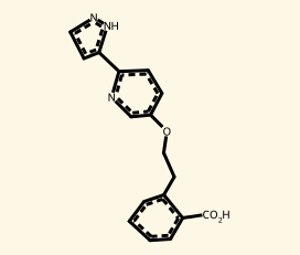 O=C(O)c1ccccc1CCOc1ccc(-c2ccn[nH]2)nc1